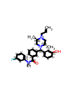 C=CCN1C[C@H](C)N([C@@H](c2cccc(O)c2)c2cccc(C(=O)N(CC)c3cccc(F)c3)c2)C[C@H]1C